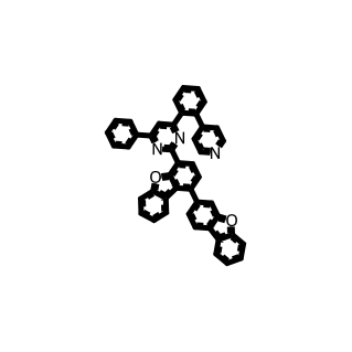 c1ccc(-c2cc(-c3ccccc3-c3ccncc3)nc(-c3ccc(-c4ccc5c(c4)oc4ccccc45)c4c3oc3ccccc34)n2)cc1